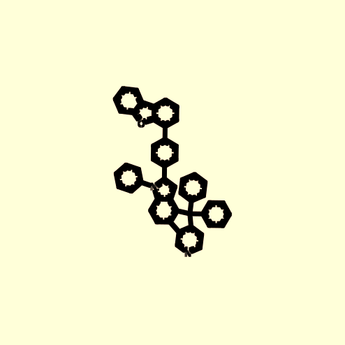 c1ccc(-n2c(-c3ccc(-c4cccc5c4oc4ccccc45)cc3)cc3c4c(ccc32)-c2cnccc2C4(c2ccccc2)c2ccccc2)cc1